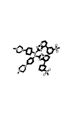 CN1CCN(c2ccc(N(c3nc4c(-c5cccc(S(C)(=O)=O)c5)cccn4n3)N(c3ccc(N4CCN(C)CC4)cc3)c3nc4c(-c5cccc(S(C)(=O)=O)c5)cccn4n3)cc2)CC1